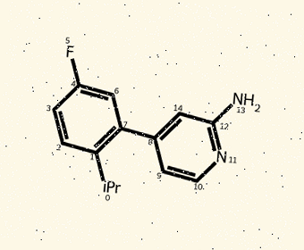 CC(C)c1ccc(F)cc1-c1ccnc(N)c1